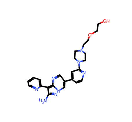 Nc1nn2cc(-c3ccnc(N4CCN(CCOCCO)CC4)c3)cnc2c1-c1ccccn1